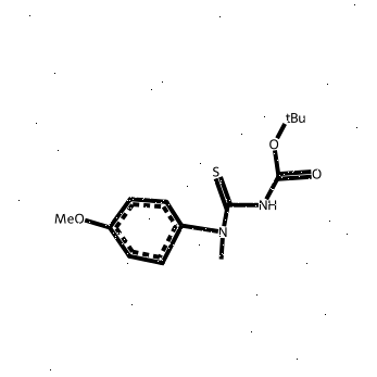 COc1ccc(N(C)C(=S)NC(=O)OC(C)(C)C)cc1